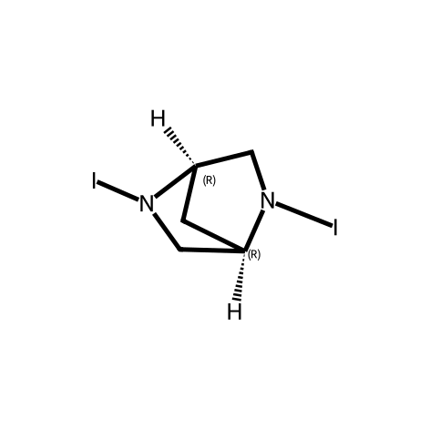 IN1C[C@H]2C[C@@H]1CN2I